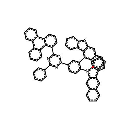 c1ccc(-c2nc(-c3ccc(-n4c5ccccc5c5cc6ccccc6cc54)c(-c4c5ccccc5cc5sc6ccccc6c45)c3)nc(-c3cccc4c5ccccc5c5ccccc5c34)n2)cc1